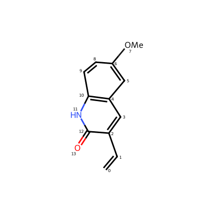 C=Cc1cc2cc(OC)ccc2[nH]c1=O